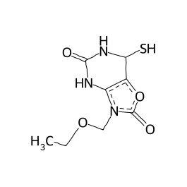 CCOCn1c2c(oc1=O)C(S)NC(=O)N2